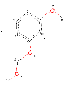 COCOc1[c]ccc(OC)c1